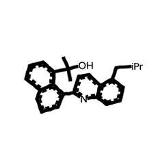 CC(C)Cc1cccc2nc(-c3cccc4cccc(C(C)(C)O)c34)ccc12